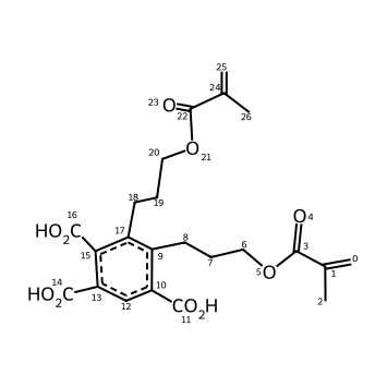 C=C(C)C(=O)OCCCc1c(C(=O)O)cc(C(=O)O)c(C(=O)O)c1CCCOC(=O)C(=C)C